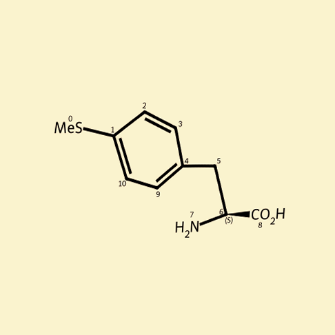 CSc1ccc(C[C@H](N)C(=O)O)cc1